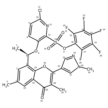 Cc1cc([C@@H](C)Oc2ccc(Cl)nc2S(=O)(=O)Oc2c(F)c(F)c(F)c(F)c2F)c2oc(-c3cnn(C)c3)c(C)c(=O)c2c1